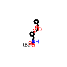 CC(C)(C)OC(=O)NCCc1cccc(OCC(=O)OCc2ccccc2)c1